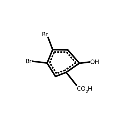 O=C(O)c1cc(Br)c(Br)cc1O